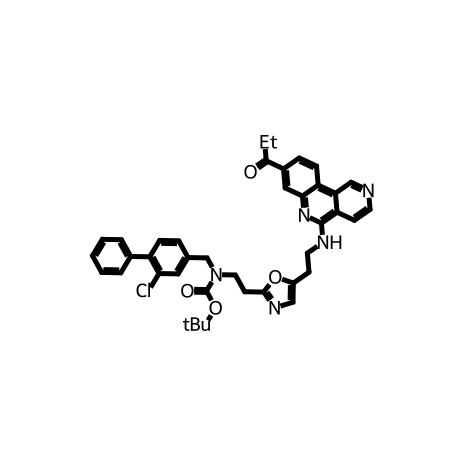 CCC(=O)c1ccc2c(c1)nc(NCCc1cnc(CCN(Cc3ccc(-c4ccccc4)c(Cl)c3)C(=O)OC(C)(C)C)o1)c1ccncc12